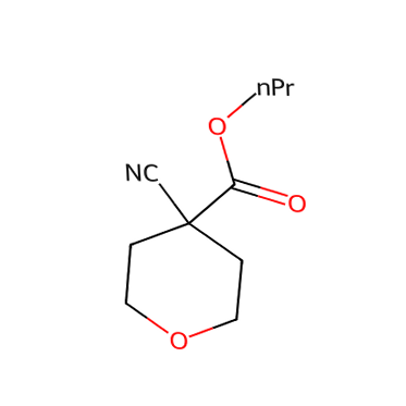 CCCOC(=O)C1(C#N)CCOCC1